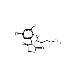 CCCC[S+]([O-])[N+]1(c2cc(Cl)cc(Cl)c2)C(=O)CCC1=O